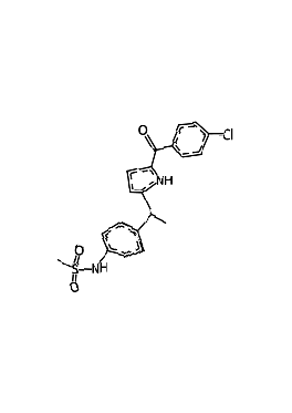 CC(c1ccc(NS(C)(=O)=O)cc1)c1ccc(C(=O)c2ccc(Cl)cc2)[nH]1